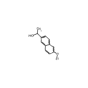 CCOc1ccc2cc(C(C)O)ccc2c1